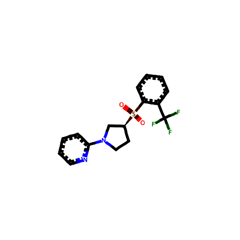 O=S(=O)(c1ccccc1C(F)(F)F)[C@H]1CCN(c2ccccn2)C1